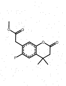 COC(=O)Cc1cc2c(cc1F)C(C)(C)CC(=O)O2